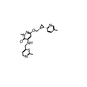 CC1=NCC=C(CNc2cc(OC[C@H]3C[C@@H]3c3ccc(C)cn3)nn(C)c2=O)S1